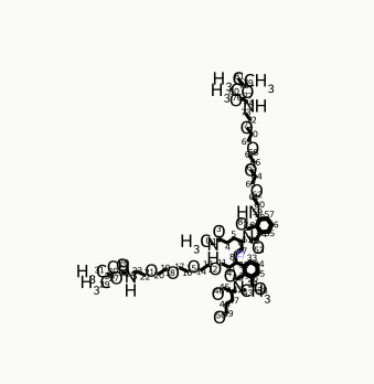 CNC(=O)CCC(/C=C/C(CCOCCOCCOCCOCCNC(=O)OC(C)(C)C)c1cccc(C=O)c1C(=O)N(C)C(C=O)CCC=O)N1C(=O)c2cccc(NCCOCCOCCOCCOCCNC(=O)OC(C)(C)C)c2C1=O